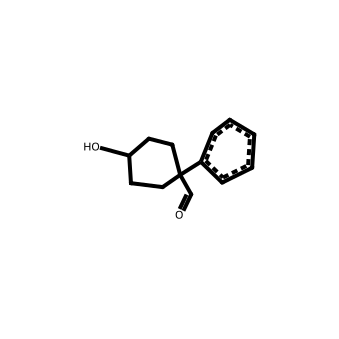 O=CC1(c2ccccc2)CCC(O)CC1